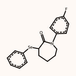 O=C1C([Se]c2ccccc2)CCCCN1c1ccc(F)cc1